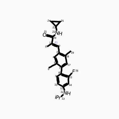 C/C(=C\c1cc(C)c(-c2ccc(NC(C)C)cc2F)cc1C)C(=O)NC1CC1